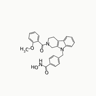 COc1ccccc1C(=O)N1CCc2c(n(Cc3ccc(C(=O)NO)cc3)c3ccccc23)C1